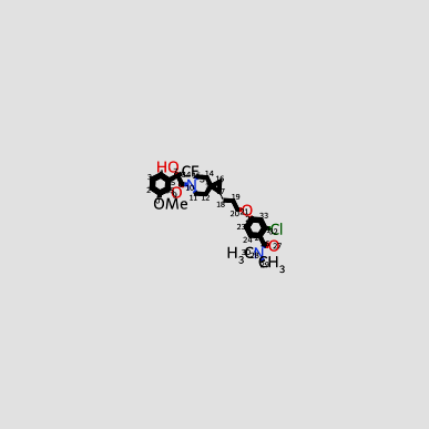 COc1cccc(C(O)(C(=O)N2CCC3(CC2)C[C@@H]3CCCOc2ccc(C(=O)N(C)C)c(Cl)c2)C(F)(F)F)c1